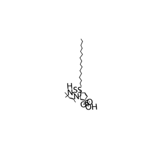 CCCCCCCCCCCCCCCCSc1ccc(S(=O)(=O)O)cc1N1C(=S)NC(C)(C)C=C1C